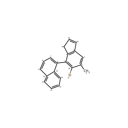 Cc1cc2c(c(-c3cccc4ccccc34)c1Br)CC=C2